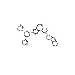 c1cncc(-c2cc(-c3cccnc3)cc(-c3ccc4c(c3)OCOc3ccc(-c5ccc6c(c5)oc5ccccc56)cc3-4)c2)c1